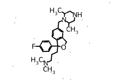 CC1CNCC(C)N1Cc1ccc2c(c1)COC2(CCCN(C)C)c1ccc(F)cc1